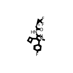 Cn1nc(NC(=O)C[C@H]2CC2(F)F)c(C2CCC2)c1-c1ccc(F)cc1